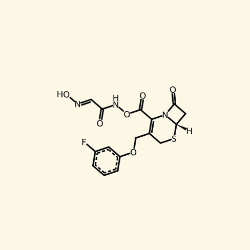 O=C(C=NO)NOC(=O)C1=C(COc2cccc(F)c2)CS[C@H]2CC(=O)N12